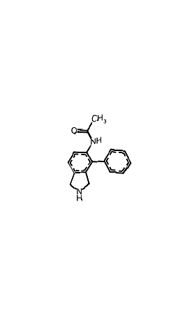 CC(=O)Nc1ccc2c(c1-c1ccccc1)CNC2